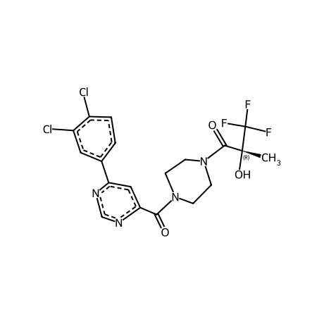 C[C@@](O)(C(=O)N1CCN(C(=O)c2cc(-c3ccc(Cl)c(Cl)c3)ncn2)CC1)C(F)(F)F